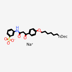 CCCCCCCCCCCCCCCCOc1ccc(C(=O)CC(=O)Nc2cccc(S(=O)(=O)[O-])c2)cc1.[Na+]